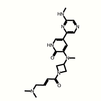 CNc1cncc(-c2c[nH]c(=O)c(N(C)C3CN(C(=O)/C=C/CN(C)C)C3)c2)n1